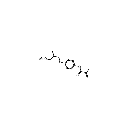 C=C(C)C(=O)Oc1ccc(OCC(C)COC)cc1